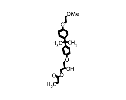 C=CC(=O)OCC(O)COc1ccc(C(C)(C)c2ccc(OCCOC)cc2)cc1